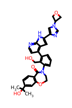 CC(C)(O)c1ccc2c(c1)OCCN(c1cccc(-c3ccnc4[nH]c(-c5cn(C6COC6)cn5)cc34)c1CO)C2=O